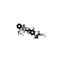 CCOc1ccccc1S(=O)(=O)NC(=O)c1cc2c(F)cc(N3CCC3C(N)=O)cc2o1